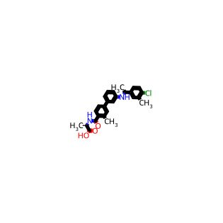 Cc1cc(C(C)Nc2cccc(-c3ccc(C(=O)N[C@@H](C)C(=O)O)c(C)c3)c2)ccc1Cl